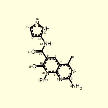 Cc1nc(N)nc2c1cc(C(=O)Nc1ccn[nH]1)c(=O)n2C(C)C